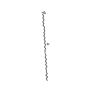 CCCCCCCCCCCCCCCCCCCCCCCCCCCCCCCCCCCCCC[N+](C)(C)C.[Br-]